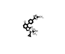 Cc1nnc(-c2ccc(-c3c(Cl)ccc4c3C(=O)N([C@H](C3CC3)C(C)(C)O)C4)cc2)o1